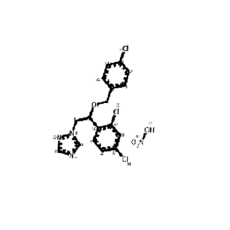 Clc1ccc(COC(Cn2cncn2)c2ccc(Cl)cc2Cl)cc1.O=[N+]([O-])O